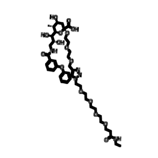 CCNC(=O)CCOCCOCCOCCOCCn1cc(COCCOCCO[C@@]2(C(=O)O)C[C@H](O)[C@@H](C)[C@H]([C@H](O)[C@H](O)CNC(=O)c3cccc(Oc4ccccc4)c3)O2)nn1